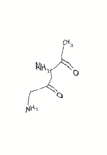 CC(=O)CC(=O)CN.[AlH3]